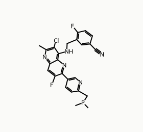 Cc1nc2cc(F)c(-c3ccc(CP(C)C)nc3)nc2c(NCc2cc(C#N)ccc2F)c1Cl